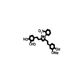 COc1cc(/C=C/c2cc(/C=C/c3ccc(O)c(C=O)c3)nn2-c2ccccc2[N+](=O)[O-])ccc1O